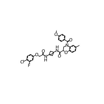 COc1ccc(C(=O)N2CC(C(=O)NC34CC(NC(=O)COc5ccc(Cl)c(F)c5)(C3)C4)Oc3ccc(C)cc32)cc1